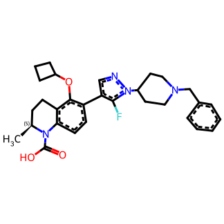 C[C@H]1CCc2c(ccc(-c3cnn(C4CCN(Cc5ccccc5)CC4)c3F)c2OC2CCC2)N1C(=O)O